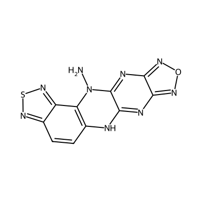 NN1c2nc3nonc3nc2Nc2ccc3nsnc3c21